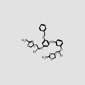 CC[C@@H](C[C@H]1COC(N)=N1)Oc1cccc(O)c1.CC[C@@H](C[C@H]1COC(N)=N1)Oc1cccc(OCc2ccccc2)c1